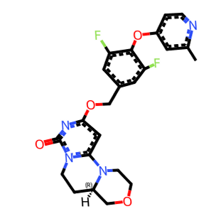 Cc1cc(Oc2c(F)cc(COc3cc4n(c(=O)n3)CC[C@@H]3COCCN43)cc2F)ccn1